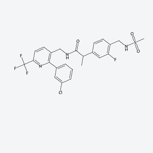 CC(C(=O)NCc1ccc(C(F)(F)F)nc1-c1cccc(Cl)c1)c1ccc(CNS(C)(=O)=O)c(F)c1